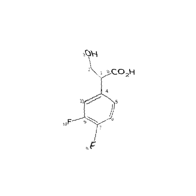 O=C(O)C(CO)c1ccc(F)c(F)c1